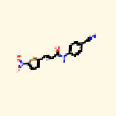 N#Cc1ccc(NC(=O)/C=C/c2ccc([N+](=O)[O-])s2)cc1